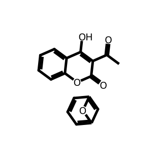 CC(=O)c1c(O)c2ccccc2oc1=O.c1cc2cc(c1)O2